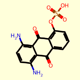 Nc1ccc(N)c2c1C(=O)c1cccc(OS(=O)(=O)O)c1C2=O